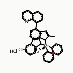 CC1=Cc2ccccc2[CH]1[Zr](=[SiH2])([c]1ccccc1)([c]1ccccc1)[CH]1C(C)=Cc2c(-c3cccc4cccnc34)cccc21.Cl.Cl